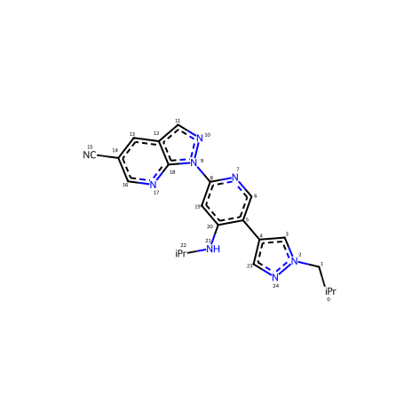 CC(C)Cn1cc(-c2cnc(-n3ncc4cc(C#N)cnc43)cc2NC(C)C)cn1